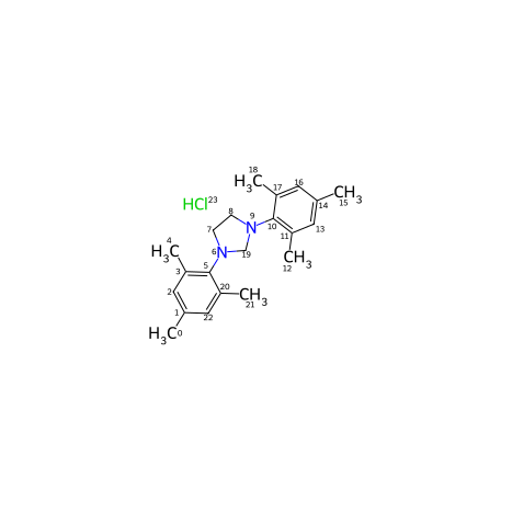 Cc1cc(C)c(N2CCN(c3c(C)cc(C)cc3C)C2)c(C)c1.Cl